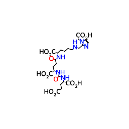 O=C(O)CC[C@H](NC(=O)N[C@@H](CCC(=O)N[C@@H](CCCCNCc1nccn1CC(=O)O)C(=O)O)C(=O)O)C(=O)O